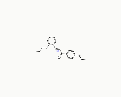 CCCCc1ccccc1/C=C/C(=O)c1ccc(SCC)cc1